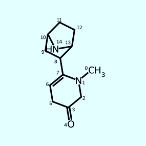 CN1CC(=O)CC=C1C1CC2CCC1N2